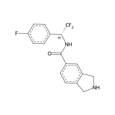 O=C(N[C@H](c1ccc(F)cc1)C(F)(F)F)c1ccc2c(c1)CNC2